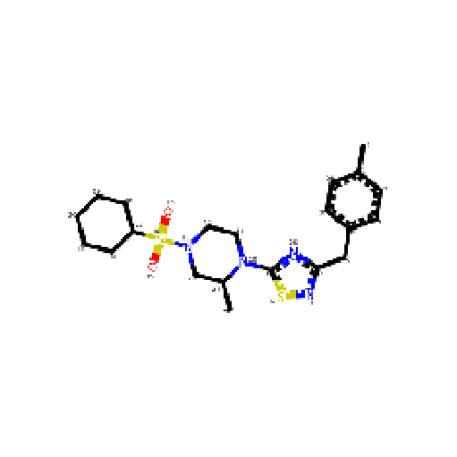 Cc1ccc(Cc2nsc(N3CCN(S(=O)(=O)C4CCCCC4)CC3C)n2)cc1